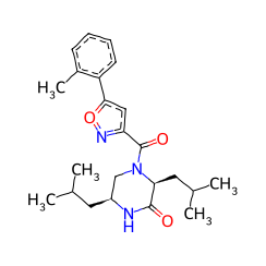 Cc1ccccc1-c1cc(C(=O)N2C[C@H](CC(C)C)NC(=O)[C@@H]2CC(C)C)no1